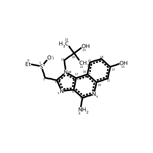 CC[S+]([O-])Cc1nc2c(N)nc3cc(O)ccc3c2n1CC(C)(C)O